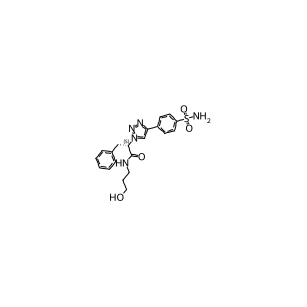 NS(=O)(=O)c1ccc(-c2cn([C@@H](Cc3ccccc3)C(=O)NCCCO)nn2)cc1